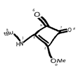 COc1c(NC(C)(C)C)c(=O)c1=O